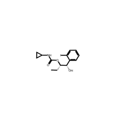 CC[C@H](OC(=O)NC1CC1)[C@@H](O)c1ccccc1I